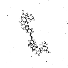 COC(=O)N[C@H](C(=O)N1CCC[C@H]1c1ncc(-c2ccc(C#Cc3ccc4nc([C@@H]5CCCN5C(=O)[C@@H](NC(=O)OC)C5CCOCC5)[nH]c4c3)cc2F)[nH]1)C1CCOCC1